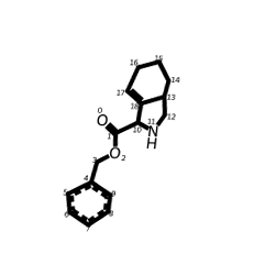 O=C(OCc1ccccc1)C1NCC2CCCC=C21